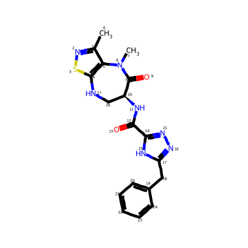 Cc1nsc2c1N(C)C(=O)[C@@H](NC(=O)c1nnc(Cc3ccccc3)[nH]1)CN2